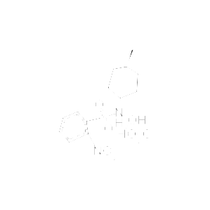 C[C@H]1CC[C@H](NS(=O)(=O)c2ccccc2[N+](=O)[O-])CC1.O=C(O)O